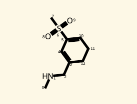 CNCC1=CC(S(C)(=O)=O)=CCC1